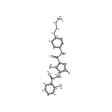 Cn1nc(C(=O)Nc2ccc(CCCN)cc2)c(Br)c1NC(=O)c1ccccc1Cl